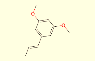 CC=Cc1cc(OC)cc(OC)c1